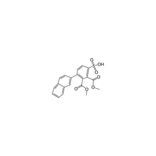 COC(=O)c1c(-c2ccc3ccccc3c2)ccc(S(=O)(=O)O)c1C(=O)OC